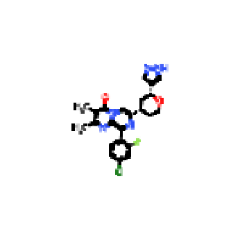 Cc1nc2c(-c3ccc(Cl)cc3F)nc([C@H]3CCO[C@@H](c4cn[nH]c4)C3)cn2c(=O)c1C